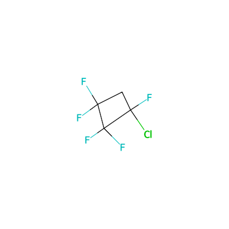 FC1(F)CC(F)(Cl)C1(F)F